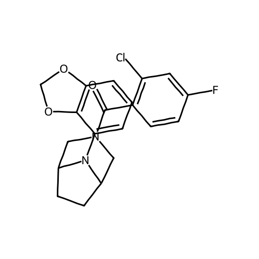 O=C(c1ccc(F)cc1Cl)N1CC2CCC(C1)N2c1cccc2c1OCO2